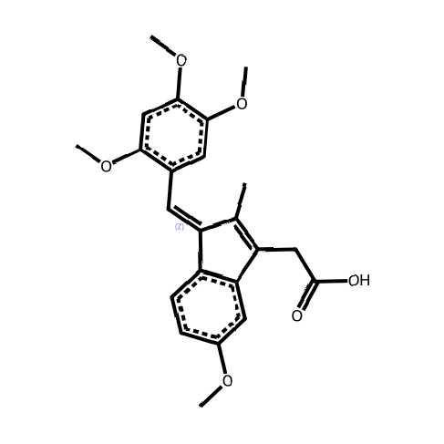 COc1ccc2c(c1)C(CC(=O)O)=C(C)/C2=C\c1cc(OC)c(OC)cc1OC